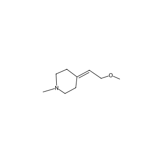 COCC=C1CCN(C)CC1